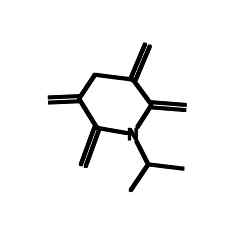 C=C1CC(=C)C(=C)N(C(C)C)C1=C